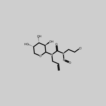 C=CCN(C(=O)N(CCCl)N=O)C1OC[C@H](O)[C@H](O)[C@H]1O